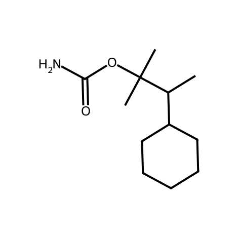 CC(C1CCCCC1)C(C)(C)OC(N)=O